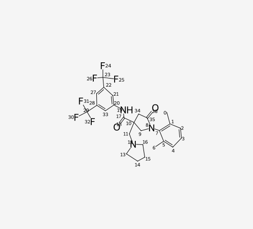 Cc1cccc(C)c1N1CC(CN2CCCC2)(C(=O)Nc2cc(C(F)(F)F)cc(C(F)(F)F)c2)CC1=O